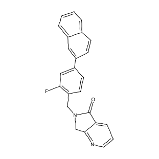 O=C1c2cccnc2CN1Cc1ccc(-c2ccc3ccccc3c2)cc1F